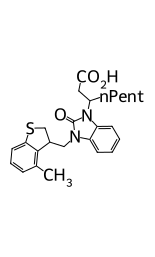 CCCCCC(CC(=O)O)n1c(=O)n(CC2CSc3cccc(C)c32)c2ccccc21